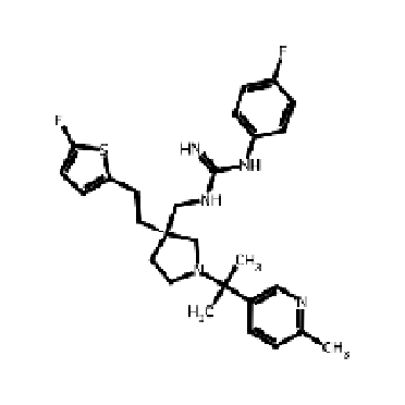 Cc1ccc(C(C)(C)N2CC[C@](CCc3ccc(F)s3)(CNC(=N)Nc3ccc(F)cc3)C2)cn1